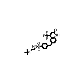 CC(C)(C)SCCNS(=O)(=O)c1ccc(Cc2ccc3[nH]c(=O)cc(C(F)(F)F)c3c2)cc1